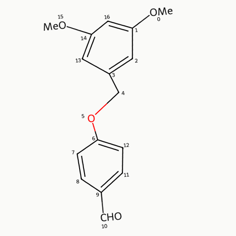 COc1cc(COc2ccc(C=O)cc2)cc(OC)c1